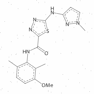 COc1ccc(C)c(NC(=O)c2nnc(Nc3ccn(C)n3)s2)c1C